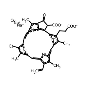 C=Cc1c(C)/c2[n-]/c1=C\c1[n-]c(c(CC)c1C)/C=c1\[n-]c3c(c1C)C(=O)C(C(=O)[O-])C=3c1[n-]c(c(C)c1CCC(=O)[O-])/C=2.[Cu].[Na+].[Na+]